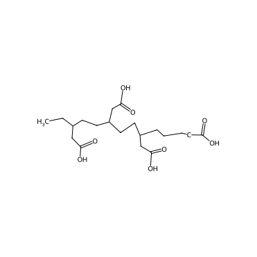 CCC(CCC(CCC(CCCCC(=O)O)CC(=O)O)CC(=O)O)CC(=O)O